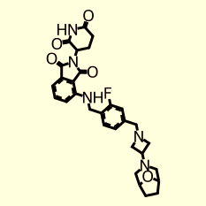 O=C1CCC(N2C(=O)c3cccc(NCc4ccc(CN5CC(N6CC7CCC(C6)O7)C5)cc4F)c3C2=O)C(=O)N1